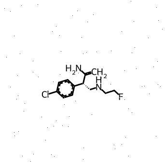 C=C(N)[C@H](CNCCF)c1ccc(Cl)cc1